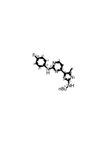 CCCCNc1nc(C)c(-c2ccnc(Nc3ccc(F)cc3)n2)s1